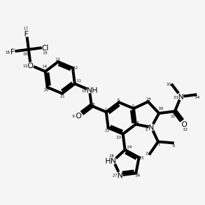 CC(C)N1c2c(cc(C(=O)Nc3ccc(OC(F)(F)Cl)cc3)cc2-c2ccn[nH]2)CC1C(=O)N(C)C